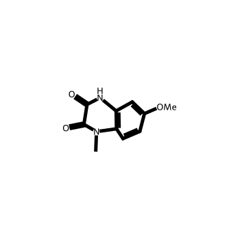 COc1ccc2c(c1)[nH]c(=O)c(=O)n2C